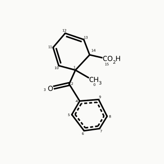 CC1(C(=O)c2ccccc2)C=CC=CC1C(=O)O